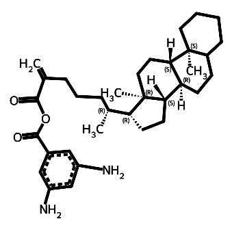 C=C(CCC[C@@H](C)[C@H]1CC[C@H]2[C@@H]3CCC4CCCC[C@]4(C)[C@H]3CC[C@]12C)C(=O)OC(=O)c1cc(N)cc(N)c1